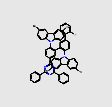 N#Cc1ccc2c(c1)c1cc(C#N)ccc1n2-c1ccc(-c2nc(-c3ccccc3)nc(-c3ccccc3)n2)cc1-c1cc(-c2ccccc2C#N)ccc1-n1c2ccc(C#N)cc2c2cc(C#N)ccc21